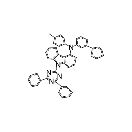 Cc1ccc(N(c2cccc(-c3ccccc3)c2)c2cccc3c2c2ccccc2n3-c2nc(-c3ccccc3)nc(-c3ccccc3)n2)cc1